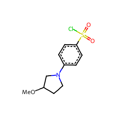 COC1CCN(c2ccc(S(=O)(=O)Cl)cc2)C1